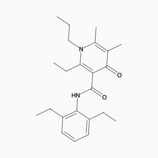 CCCn1c(C)c(C)c(=O)c(C(=O)Nc2c(CC)cccc2CC)c1CC